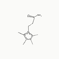 Cc1c(C)c(C)n(CCC(N)=O)c1C